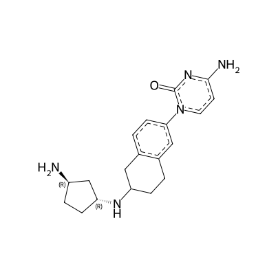 Nc1ccn(-c2ccc3c(c2)CCC(N[C@@H]2CC[C@@H](N)C2)C3)c(=O)n1